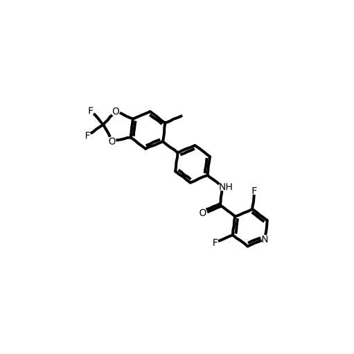 Cc1cc2c(cc1-c1ccc(NC(=O)c3c(F)cncc3F)cc1)OC(F)(F)O2